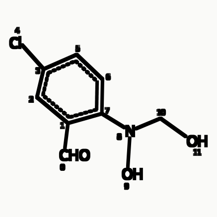 O=Cc1cc(Cl)ccc1N(O)CO